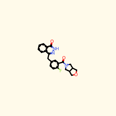 O=C(c1cc(Cc2n[nH]c(=O)c3ccccc23)ccc1F)N1CC2COCC2C1